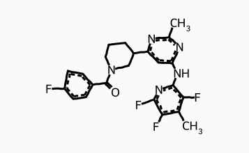 Cc1nc(Nc2nc(F)c(F)c(C)c2F)cc(C2CCCN(C(=O)c3ccc(F)cc3)C2)n1